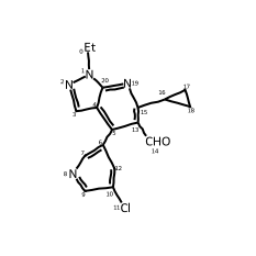 CCn1ncc2c(-c3cncc(Cl)c3)c(C=O)c(C3CC3)nc21